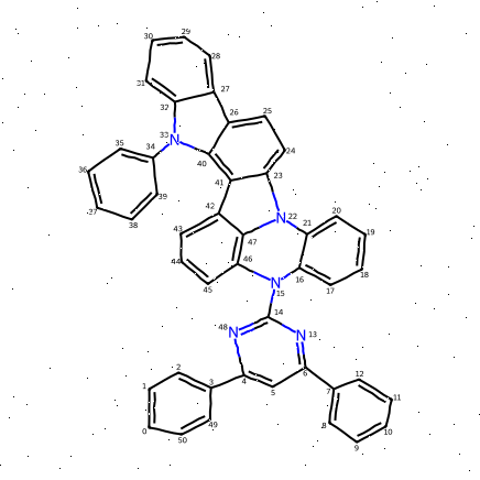 c1ccc(-c2cc(-c3ccccc3)nc(N3c4ccccc4-n4c5ccc6c7ccccc7n(-c7ccccc7)c6c5c5cccc3c54)n2)cc1